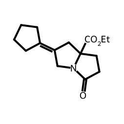 CCOC(=O)C12CCC(=O)N1CC(=C1CCCC1)C2